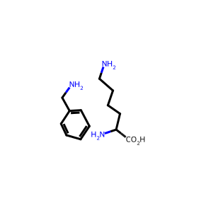 NCCCCC(N)C(=O)O.NCc1ccccc1